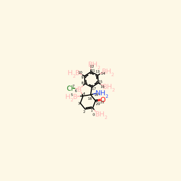 BC1=CCC2(B)B(Cl)c3c(B)c(B)c(B)c(B)c3C2(N)C1=O